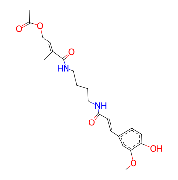 COc1cc(/C=C/C(=O)NCCCCNC(=O)/C(C)=C/COC(C)=O)ccc1O